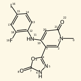 Cn1cc(-c2n[nH]c(=O)o2)c(Nc2ccc(I)cc2F)cc1=O